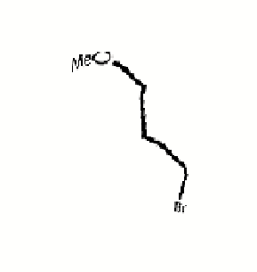 [CH2]OCCCBr